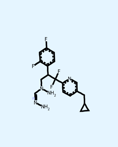 N/N=C\N(N)CC(c1ccc(F)cc1F)C(F)(F)c1ccc(CC2CC2)cn1